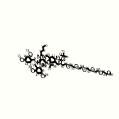 CCCCc1nc2c(N(Cc3ccc(OC)cc3OC)Cc3ccc(OC)cc3OC)nnc(OC(C)C)c2n1Cc1ccc(CN(CCOCCOCCOCCOCCOCCOC)C(=O)OC(C)(C)C)cc1